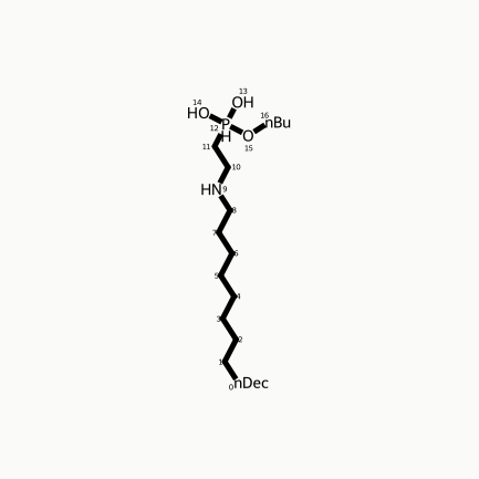 CCCCCCCCCCCCCCCCCCNCC[PH](O)(O)OCCCC